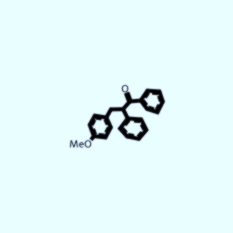 COc1ccc(CC(C(=O)c2ccccc2)c2ccccc2)cc1